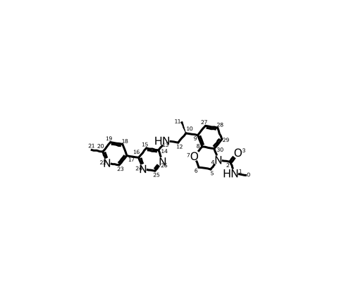 CNC(=O)N1CCOc2c([C@H](C)CNc3cc(-c4ccc(C)nc4)ncn3)cccc21